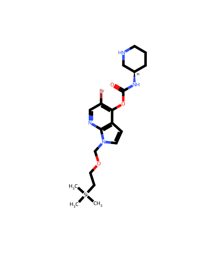 C[Si](C)(C)CCOCn1ccc2c(OC(=O)N[C@@H]3CCCNC3)c(Br)cnc21